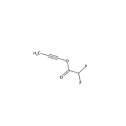 CC#COC(=O)C(F)F